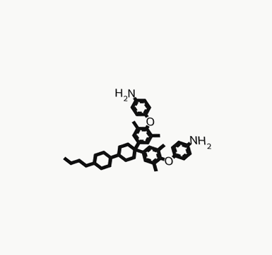 CCCCC1CCC(C2CCC(c3cc(C)c(Oc4ccc(N)cc4)c(C)c3)(c3cc(C)c(Oc4ccc(N)cc4)c(C)c3)CC2)CC1